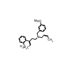 C/C=C\CN(CC/C(=C/C)c1ccccc1C)Cc1cccc(OC)c1